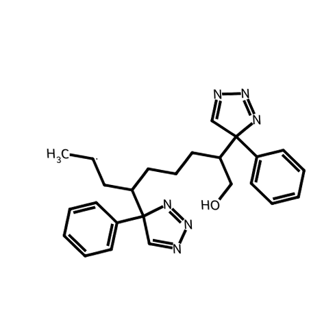 C[CH]CC(CCCC(CO)C1(c2ccccc2)C=NN=N1)C1(c2ccccc2)C=NN=N1